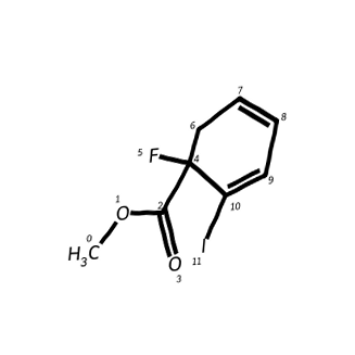 COC(=O)C1(F)CC=CC=C1I